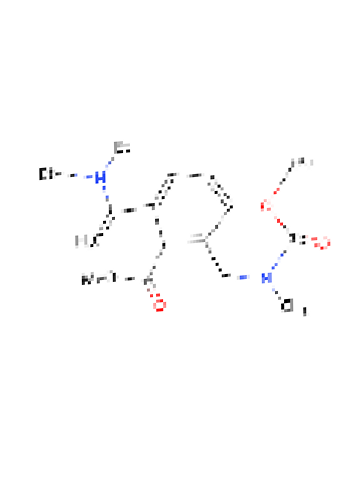 C=C(c1cccc(CN(C)C(=O)OC(C)(C)C)c1C(=O)OC)N(CC)CC